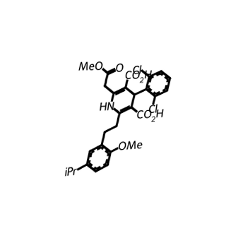 COC(=O)CC1=C(C(=O)O)C(c2c(Cl)cccc2Cl)C(C(=O)O)=C(CCc2cc(C(C)C)ccc2OC)N1